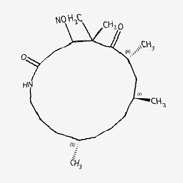 C[C@@H]1CCCNC(=O)CC(N=O)C(C)(C)C(=O)[C@H](C)C[C@@H](C)CCC1